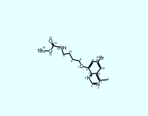 Cc1ncnc2c(OCCCCNC(=O)OC(C)(C)C)cc(Br)cc12